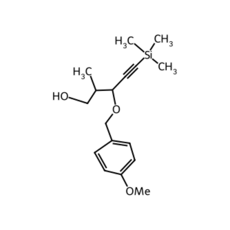 COc1ccc(COC(C#C[Si](C)(C)C)C(C)CO)cc1